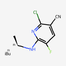 CC[C@H](C)[C@@H](C)Nc1nc(Cl)c(C#N)cc1F